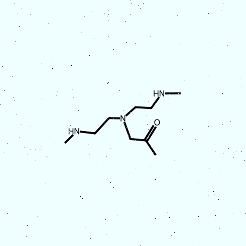 CNCCN(CCNC)CC(C)=O